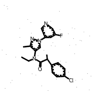 CCN(C(=O)C(C)c1ccc(Cl)cc1)c1cn(-c2cncc(F)c2)nc1C